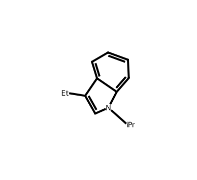 CCc1cn(C(C)C)c2ccccc12